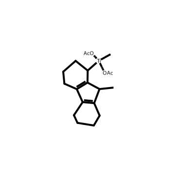 CC(=O)[O][Ti]([CH3])([O]C(C)=O)[CH]1CCCC2=C1C(C)C1=C2CCCC1